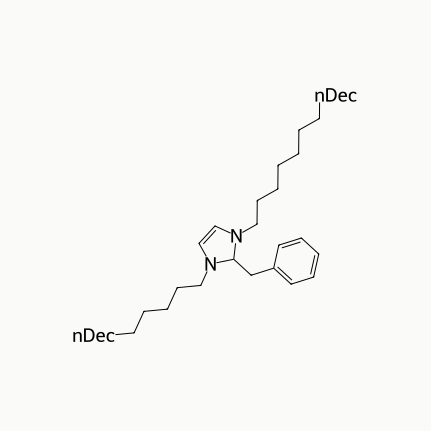 CCCCCCCCCCCCCCCCCN1C=CN(CCCCCCCCCCCCCCC)C1Cc1ccccc1